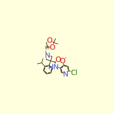 COc1cc(Cl)ncc1NC(=O)C1(c2ccccc2C(C)C)CN(C[C@@H]2COC(C)(C)O2)C1